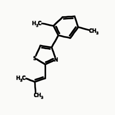 CC(C)=Cc1nc(-c2cc(C)ccc2C)cs1